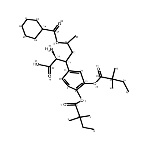 CCC(C)(C)C(=O)Oc1ccc(C(CC(C)OC(=O)C2CCCCC2)[C@H](N)C(=O)O)cc1OC(=O)C(C)(C)CC